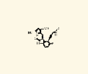 CCNCC#Cc1c(F)ccc2c1/C(=C/c1[nH]ccc1OC)C(=O)N2.Cl